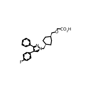 O=C(O)COC[C@H]1CC[C@@H](Cn2cc(-c3ccc(F)cc3)c(-c3ccccc3)n2)CC1